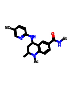 CCNC(=O)c1ccc2c(c1)C(Nc1ccc(C#N)cn1)CC(C)N2C(C)=O